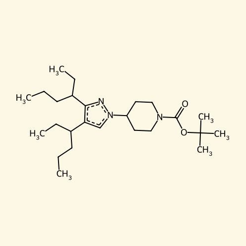 CCCC(CC)c1cn(C2CCN(C(=O)OC(C)(C)C)CC2)nc1C(CC)CCC